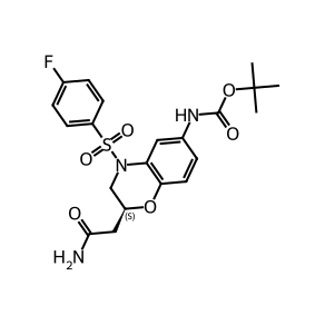 CC(C)(C)OC(=O)Nc1ccc2c(c1)N(S(=O)(=O)c1ccc(F)cc1)C[C@H](CC(N)=O)O2